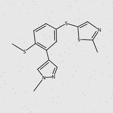 CSc1ccc(Sc2cnc(C)s2)cc1-c1cnn(C)c1